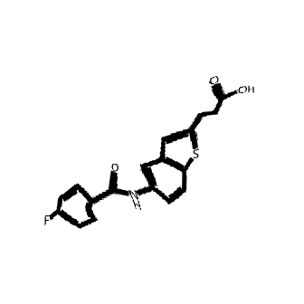 O=C(O)CCc1cc2cc(NC(=O)c3ccc(F)cc3)ccc2s1